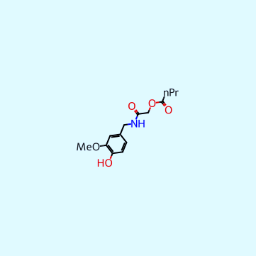 CCCC(=O)OCC(=O)NCc1ccc(O)c(OC)c1